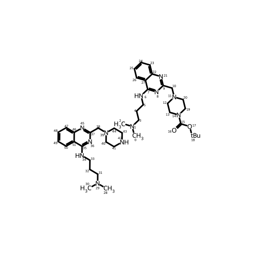 CN(C)CCCNc1nc(CN2CCN(C(=O)OC(C)(C)C)CC2)nc2ccccc12.CN(C)CCCNc1nc(CN2CCNCC2)nc2ccccc12